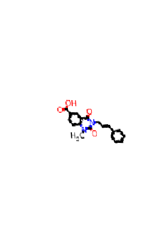 Cn1c(=O)n(CC=Cc2ccccc2)c(=O)c2cc(C(=O)O)ccc21